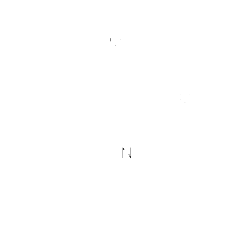 O=C(C1CCCO1)N1C[CH]C1